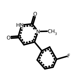 Cn1c(-c2cccc(F)c2)cc(=O)[nH]c1=O